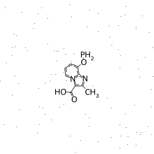 Cc1nc2c(OP)cccn2c1C(=O)O